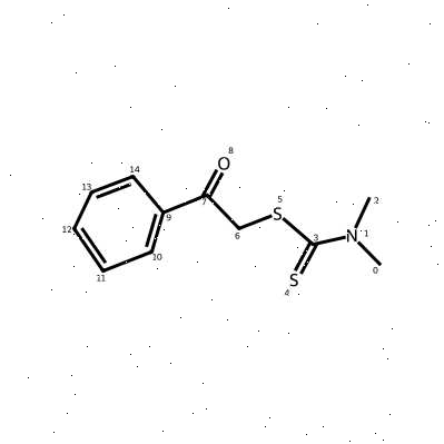 CN(C)C(=S)SCC(=O)c1ccccc1